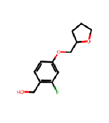 OCc1ccc(OCC2CCCO2)cc1F